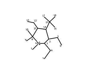 CCC1C(CC)N(C)C(C)(C)C(CC)C1C(C)(C)C